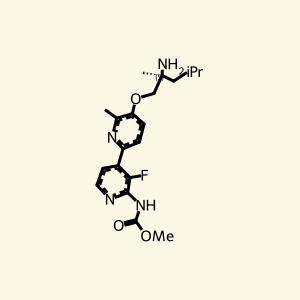 COC(=O)Nc1nccc(-c2ccc(OC[C@@](C)(N)CC(C)C)c(C)n2)c1F